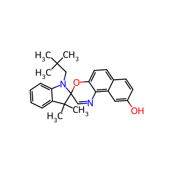 CC(C)(C)CN1c2ccccc2C(C)(C)C12C=Nc1c(ccc3ccc(O)cc13)O2